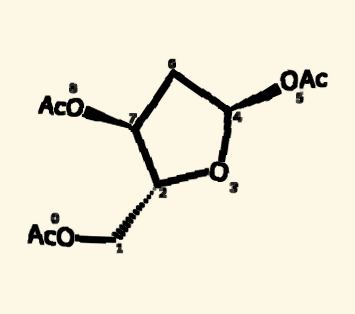 CC(=O)OC[C@H]1O[C@H](OC(C)=O)C[C@@H]1OC(C)=O